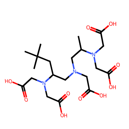 CC(CN(CC(=O)O)CC(CC(C)(C)C)N(CC(=O)O)CC(=O)O)N(CC(=O)O)CC(=O)O